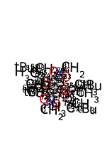 C=CCN1C(=O)c2cc(Oc3ccc(C(C)(C)CC(C)(C)C)cc3)c3c4c(Oc5ccc(C(C)(C)CC(C)(C)C)cc5)cc5c6c(cc(Oc7ccc(C(C)(C)CC(C)(C)C)cc7)c(c7c(Oc8ccc(C(C)(C)CC(C)(C)C)cc8)cc(c2c37)C1=O)c64)C(=O)N(CC=C)C5=O